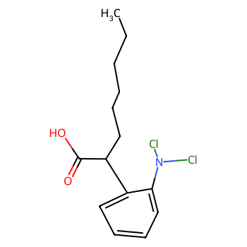 CCCCCCC(C(=O)O)c1ccccc1N(Cl)Cl